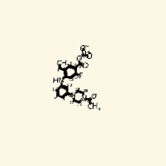 CCc1cc(C(=O)O[N+](=O)[O-])c(F)cc1Nc1cccc(N2CCN(C(C)=O)CC2)c1